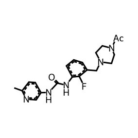 CC(=O)N1CCN(Cc2cccc(NC(=O)Nc3ccc(C)nc3)c2F)CC1